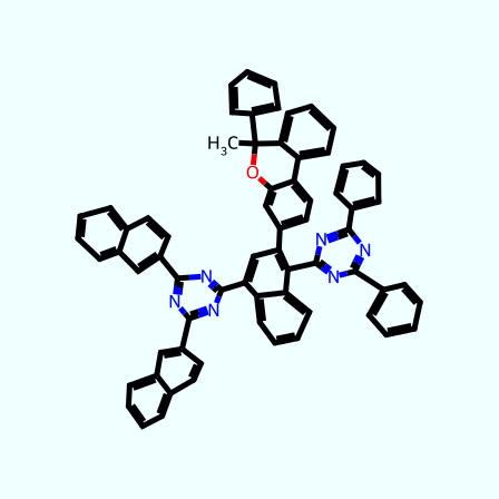 CC1(c2ccccc2)Oc2cc(-c3cc(-c4nc(-c5ccc6ccccc6c5)nc(-c5ccc6ccccc6c5)n4)c4ccccc4c3-c3nc(-c4ccccc4)nc(-c4ccccc4)n3)ccc2-c2ccccc21